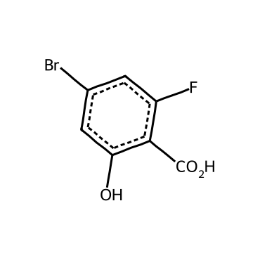 O=C(O)c1c(O)cc(Br)cc1F